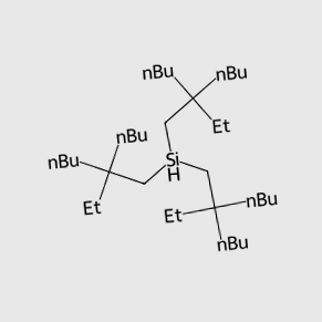 CCCCC(CC)(CCCC)C[SiH](CC(CC)(CCCC)CCCC)CC(CC)(CCCC)CCCC